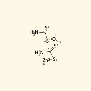 CO.NC(=S)[S-].NC(=S)[S-].[Zn+2]